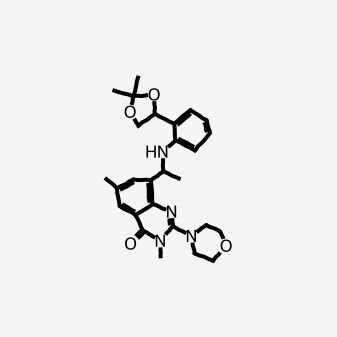 Cc1cc(C(C)Nc2ccccc2C2COC(C)(C)O2)c2nc(N3CCOCC3)n(C)c(=O)c2c1